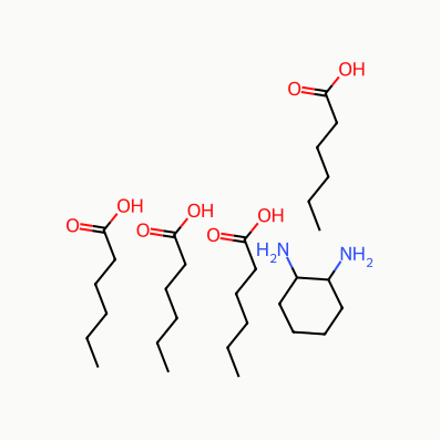 CCCCCC(=O)O.CCCCCC(=O)O.CCCCCC(=O)O.CCCCCC(=O)O.NC1CCCCC1N